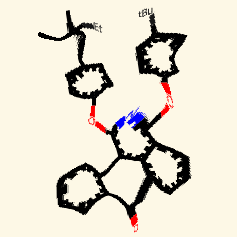 CCC(C)(C)c1ccc(Oc2nc(Oc3ccc(C(C)(C)C)cc3)c3cccc4c3c2-c2ccccc2C4=O)cc1